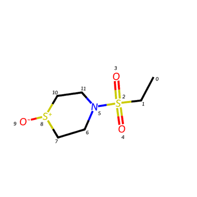 CCS(=O)(=O)N1CC[S+]([O-])CC1